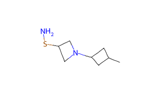 CC1CC(N2CC(SN)C2)C1